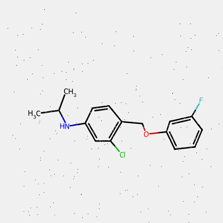 CC(C)Nc1ccc(COc2cccc(F)c2)c(Cl)c1